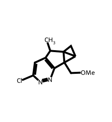 COCC12c3nnc(Cl)cc3C(C)C13CC23